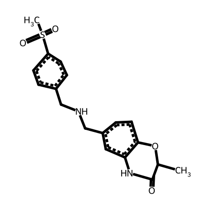 CC1Oc2ccc(CNCc3ccc(S(C)(=O)=O)cc3)cc2NC1=O